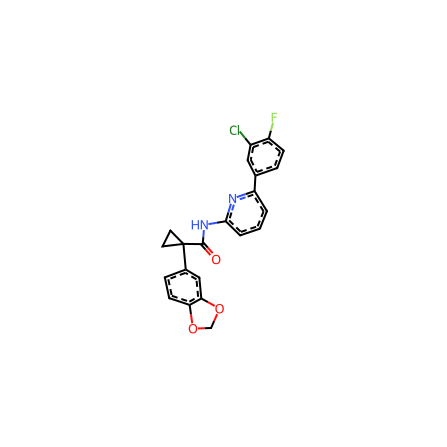 O=C(Nc1cccc(-c2ccc(F)c(Cl)c2)n1)C1(c2ccc3c(c2)OCO3)CC1